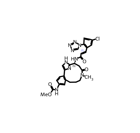 COC(=O)Nc1ccc2c(c1)CCCN(C)C(=O)C[C@H](NC(=O)/C=C/c1cc(Cl)ccc1-n1cnnn1)c1nc-2c[nH]1